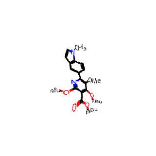 CCCCOC(=O)c1c(OCCCC)nc(-c2ccc3c(ccn3C)c2)c(OC)c1OCCCC